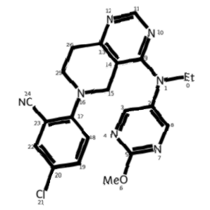 CCN(c1cnc(OC)nc1)c1ncnc2c1CN(c1ccc(Cl)cc1C#N)CC2